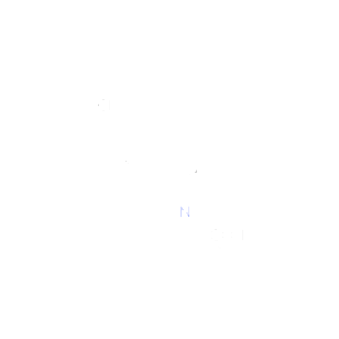 C=CC1CCN(C(=O)O)CC1